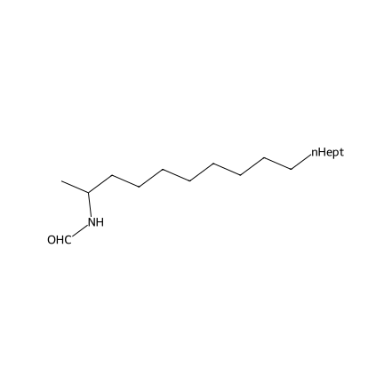 CCCCCCCCCCCCCCCC(C)NC=O